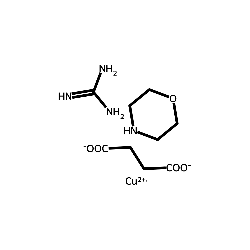 C1COCCN1.N=C(N)N.O=C([O-])CCC(=O)[O-].[Cu+2]